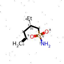 C=CC[C@H](CC)CS(N)(=O)=O